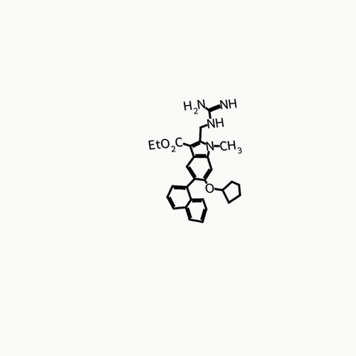 CCOC(=O)c1c(CNC(=N)N)n(C)c2cc(OC3CCCC3)c(-c3cccc4ccccc34)cc12